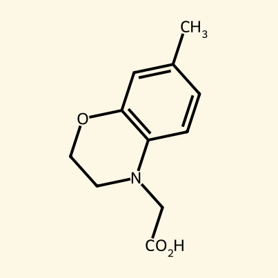 Cc1ccc2c(c1)OCCN2CC(=O)O